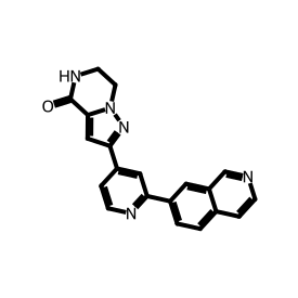 O=C1NCCn2nc(-c3ccnc(-c4ccc5ccncc5c4)c3)cc21